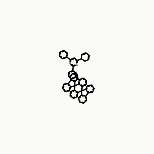 C1=CCC(c2cc(-c3ccccc3)nc(-c3cccc(-c4cccc5c4C4(c6ccccc6-c6ccccc64)c4ccccc4C54c5ccccc5-c5ccccc54)c3)n2)C=C1